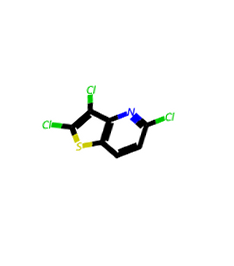 Clc1ccc2sc(Cl)c(Cl)c2n1